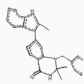 Cc1[nH]c2ncccc2c1-c1ccc2c(c1)N(Cc1ccccc1)C(C)(C)NC2=O